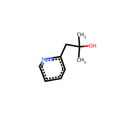 CC(C)(O)Cc1ccc[c]n1